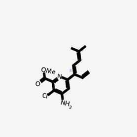 C=C/C(=C\C=C(C)C)c1cc(N)c(Cl)c(C(=O)OC)n1